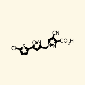 N#Cc1cn(Cc2cc(-c3ccc(Cl)s3)on2)nc1C(=O)O